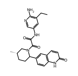 CCc1cc(NC(=O)C(=O)N2C[C@@H](C)CCC2c2ccc3[nH]c(=O)ccc3c2)cnc1N